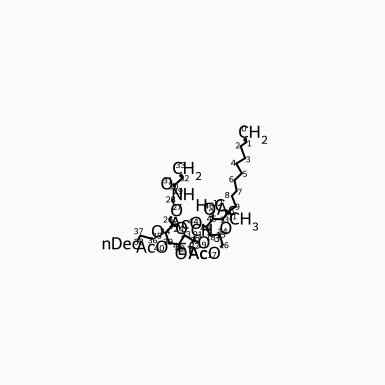 C=CCCCCCCCCC(C)(C)C1OC(COC(C)=O)C(OC(C)(CC)C2OC(COCNC(=O)C=C)C(OCCCCCCCCCCCC)C(OC(C)=O)C2OC(C)=O)C(OC(C)=O)C1OC(C)=O